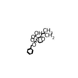 C=C(C)C[C@H]1OCCN(C(=O)OCc2ccccc2)[C@@H]1C(=O)O